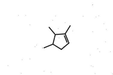 [CH]C1CC=C(C)C1C